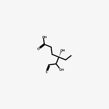 CC[C@](O)(CCC(=O)O)C(O)C=S